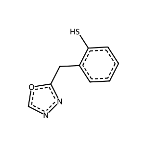 Sc1ccccc1Cc1nnco1